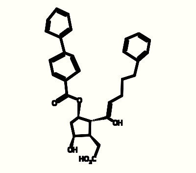 O=C(O)C[C@@H]1[C@@H](C(O)=CCCCc2ccccc2)[C@H](OC(=O)c2ccc(-c3ccccc3)cc2)C[C@@H]1O